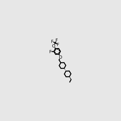 CC[C@H]1CC[C@H](C2CCC(COc3ccc(OC(F)(F)F)c(F)c3)CC2)CC1